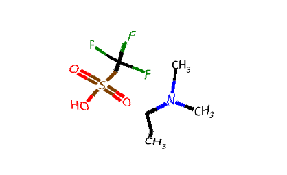 CCN(C)C.O=S(=O)(O)C(F)(F)F